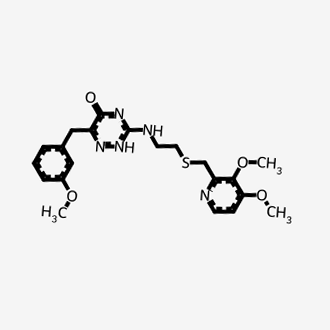 COc1cccc(Cc2n[nH]c(NCCSCc3nccc(OC)c3OC)nc2=O)c1